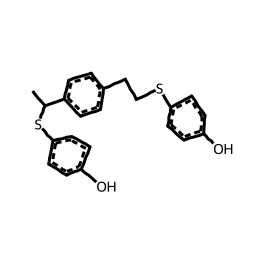 CC(Sc1ccc(O)cc1)c1ccc(CCSc2ccc(O)cc2)cc1